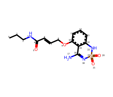 CCCNC(=O)C=CCOc1cccc2c1C(N)=NS(=O)(=O)N2